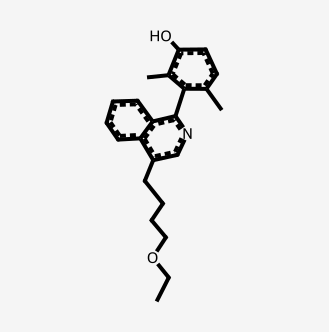 CCOCCCCc1cnc(-c2c(C)ccc(O)c2C)c2ccccc12